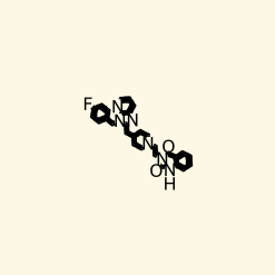 O=c1[nH]c2ccccc2c(=O)n1CCN1CCC(Cc2nc3cccnc3n2Cc2ccc(F)cc2)CC1